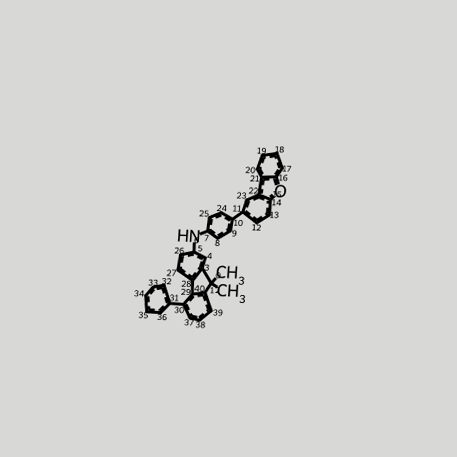 CC1(C)c2cc(Nc3ccc(-c4ccc5oc6ccccc6c5c4)cc3)ccc2-c2c(-c3ccccc3)cccc21